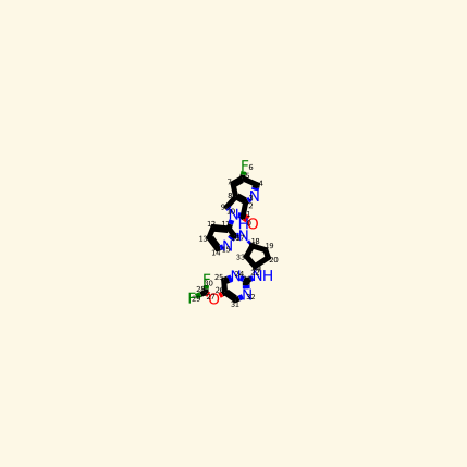 O=C1c2ncc(F)cc2CN1c1cccnc1N[C@H]1CC[C@H](Nc2ncc(OC(F)F)cn2)C1